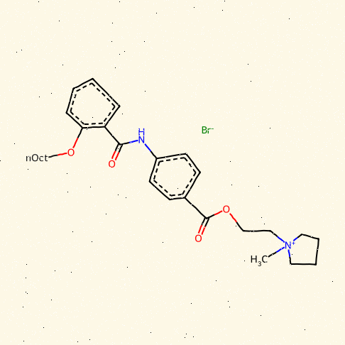 CCCCCCCCOc1ccccc1C(=O)Nc1ccc(C(=O)OCC[N+]2(C)CCCC2)cc1.[Br-]